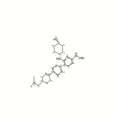 CCCCNc1ncc(-c2ccc(C3=CCC(CN(C)C)CC3)cn2)c(N[C@H]2CC[C@H](O)CC2)n1